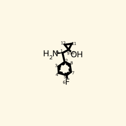 N[C@H](c1ccc(F)cc1)C1(O)CC1